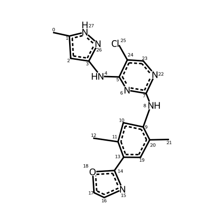 Cc1cc(Nc2nc(Nc3cc(C)c(-c4ncco4)cc3C)ncc2Cl)n[nH]1